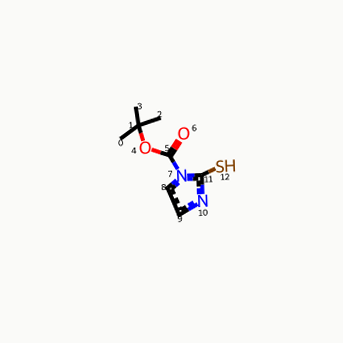 CC(C)(C)OC(=O)n1ccnc1S